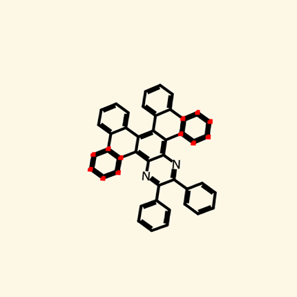 c1ccc(-c2ccccc2-c2c(-c3ccccc3-c3ccccc3)c(-c3ccccc3)c3nc(-c4ccccc4)c(-c4ccccc4)nc3c2-c2ccccc2)cc1